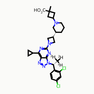 [2H]C([2H])([2H])[C@H](c1ccc(Cl)cc1Cl)n1nnc2c(C3CC3)nc(N3CC([C@H]4CCCN(C5CC(C)(C(=O)O)C5)C4)C3)nc21